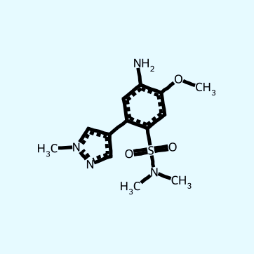 COc1cc(S(=O)(=O)N(C)C)c(-c2cnn(C)c2)cc1N